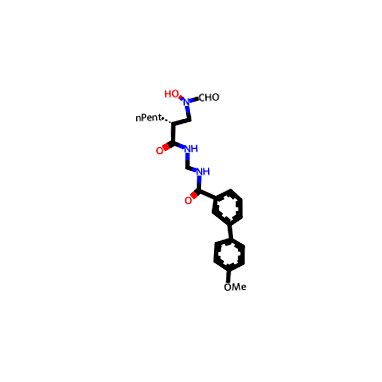 CCCCC[C@H](CN(O)C=O)C(=O)NCNC(=O)c1cccc(-c2ccc(OC)cc2)c1